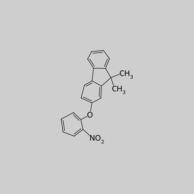 CC1(C)c2ccccc2-c2ccc(Oc3ccccc3[N+](=O)[O-])cc21